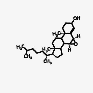 CC(C)CCC[C@@H](C)[C@H]1CCC2C3C(CC[C@@]21C)[C@@]1(C)CCC(O)C=C1[C@H]1O[C@@H]31